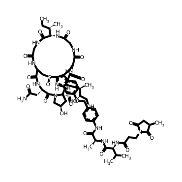 CC[C@H](C)[C@@H]1NC(=O)CNC(=O)C2Cc3c([nH]c4cc(OCc5ccc(NC(=O)[C@H](C)NC(=O)[C@@H](NC(=O)CCN6C(=O)CC(C)C6=O)C(C)C)cc5)ccc34)[S+]([O-])CC(NC(=O)CNC1=O)C(=O)N[C@@H](CC(N)=O)C(=O)N1C[C@H](O)C[C@]1(C=O)N[C@@H]([C@@H](C)[C@@H](O)CO)C(=O)N2